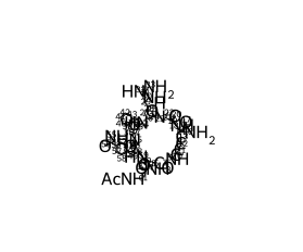 CC(=O)NCC(=O)NC1CC(=O)NCCCCC(C(N)=O)NC(=O)[C@H](C)NC(=O)[C@H](CCCNC(=N)N)NC(=O)C(Cc2ccccc2)NC(=O)[C@H](Cc2ccc(C(N)=O)cc2)NC1=O